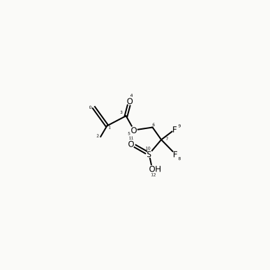 C=C(C)C(=O)OCC(F)(F)S(=O)O